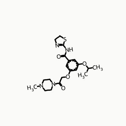 CC(C)Oc1cc(OCC(=O)N2CCN(C)CC2)cc(C(=O)NC2=NCCS2)c1